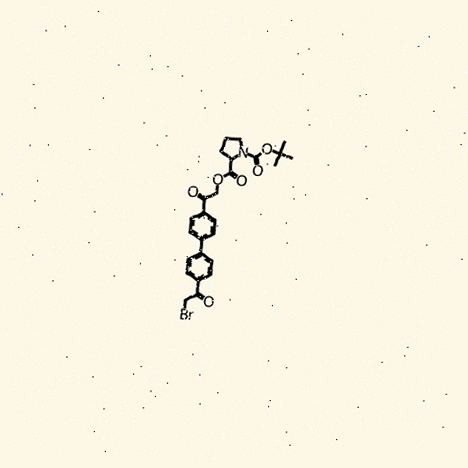 CC(C)(C)OC(=O)N1CCCC1C(=O)OCC(=O)c1ccc(-c2ccc(C(=O)CBr)cc2)cc1